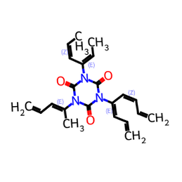 C=C/C=C\C(=C/C=C)n1c(=O)n(/C(C)=C/C=C)c(=O)n(C(/C=C\C)=C/C)c1=O